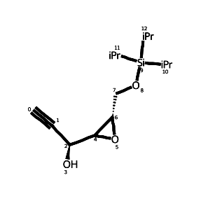 C#C[C@H](O)C1O[C@H]1CO[Si](C(C)C)(C(C)C)C(C)C